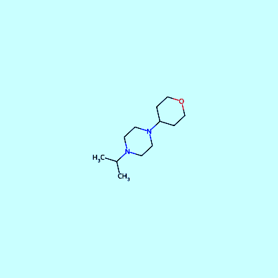 CC(C)N1CCN(C2CCOCC2)CC1